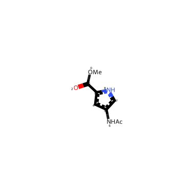 COC(=O)c1cc(NC(C)=O)c[nH]1